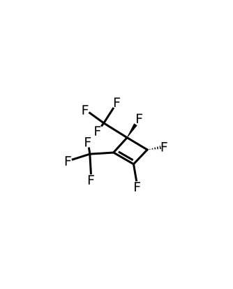 FC1=C(C(F)(F)F)[C@](F)(C(F)(F)F)[C@@H]1F